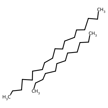 CCCCCCCCCCCC.CCCCCCCCCCCCCCCCCC